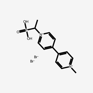 CC([n+]1ccc(-c2cc[n+](C)cc2)cc1)P(=O)(O)O.[Br-].[Br-]